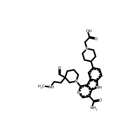 CNCCC1(C=O)CCCN(c2ncc(C(N)=O)c3[nH]c4ccc(C5CCN(CC(=O)O)CC5)cc4c23)C1